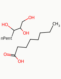 CCCCCC(O)C(O)CO.CCCCCCCC(=O)O